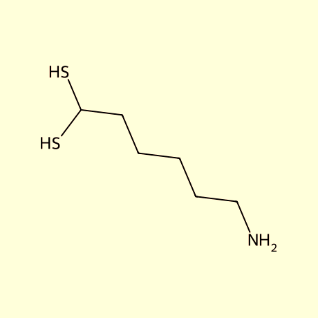 NCCCCCC(S)S